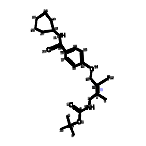 C/C(CNC(=O)OC(C)(C)C)=C(\F)COc1ccc(C(=O)NC2CCCCC2)cc1